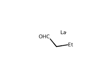 CCCC=O.[La]